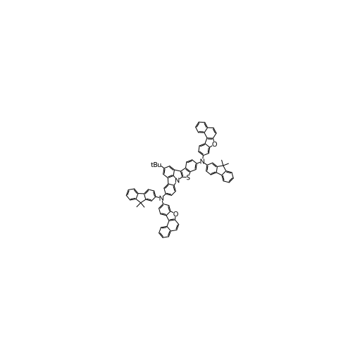 CC(C)(C)c1cc2c3cc(N(c4ccc5c(c4)C(C)(C)c4ccccc4-5)c4ccc5c(c4)oc4ccc6ccccc6c45)ccc3n3c4sc5cc(N(c6ccc7c(c6)C(C)(C)c6ccccc6-7)c6ccc7c(c6)oc6ccc8ccccc8c67)ccc5c4c(c1)c23